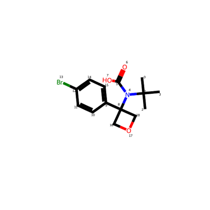 CC(C)(C)N(C(=O)O)C1(c2ccc(Br)cc2)COC1